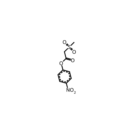 CS(=O)(=O)CC(=O)Oc1ccc([N+](=O)[O-])cc1